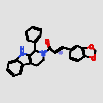 O=C(/C=C/c1ccc2c(c1)OCO2)N1CCc2c([nH]c3ccccc23)C1c1ccccc1